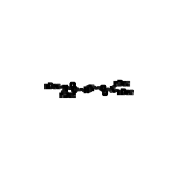 CCCCCCCCCCCCN(CCCCCCCCCCCC)CCC(=O)OCCCCN1CCN(CCCCOC(=O)CCN(CCCCCCCCCCCC)CCCCCCCCCCCC)CC1